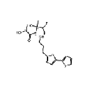 C[C@@](O)(C(F)F)[C@H](NCCCc1ccc(-c2cccs2)s1)C(=O)NO